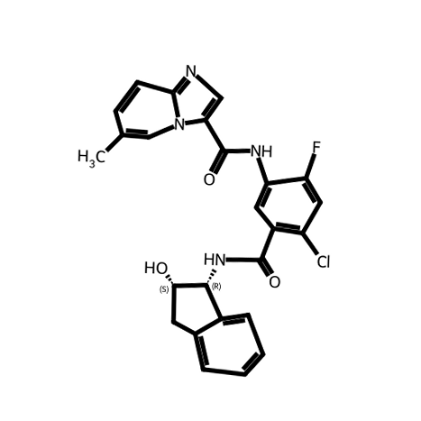 Cc1ccc2ncc(C(=O)Nc3cc(C(=O)N[C@@H]4c5ccccc5C[C@@H]4O)c(Cl)cc3F)n2c1